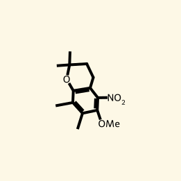 COc1c(C)c(C)c2c(c1[N+](=O)[O-])CCC(C)(C)O2